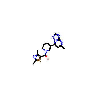 Cc1cc(C2CCCN(C(=O)c3sc(C)nc3C)C2)n2ncnc2n1